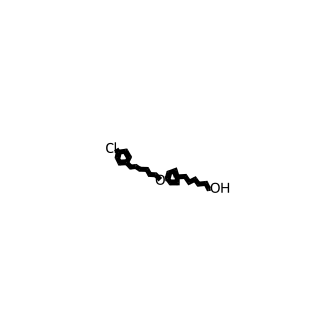 OCCCCCCc1ccc(OCCCCCCc2ccc(Cl)cc2)cc1